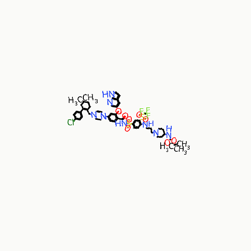 CC1(C)CCC(CN2CCN(c3ccc(C(=O)NS(=O)(=O)c4ccc(NCCCN5CCC(NC(=O)OC(C)(C)C)CC5)c(S(=O)(=O)C(F)(F)F)c4)c(Oc4cnc5[nH]ccc5c4)c3)CC2)=C(c2ccc(Cl)cc2)C1